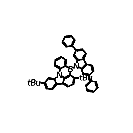 CC(C)(C)c1ccc2c3ccc(C(C)(C)C)c4c3n(c2c1)-c1ccccc1B4n1c2cc(-c3ccccc3)ccc2c2ccc(-c3ccccc3)cc21